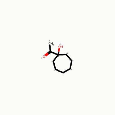 CC(=O)C1(O)CCCCCC1